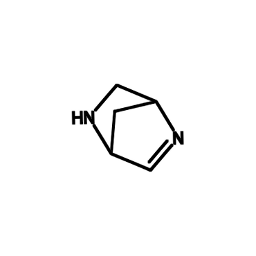 C1=NC2CNC1C2